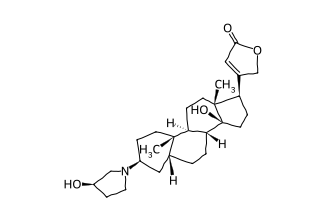 C[C@]12CC[C@H](N3CC[C@@H](O)C3)C[C@H]1CC[C@@H]1[C@@H]2CC[C@]2(C)[C@@H](C3=CC(=O)OC3)CC[C@]12O